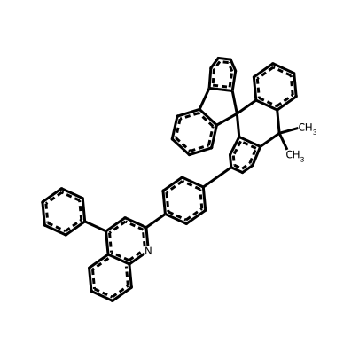 CC1(C)c2ccccc2C2(c3ccccc3-c3ccccc32)c2cc(-c3ccc(-c4cc(-c5ccccc5)c5ccccc5n4)cc3)ccc21